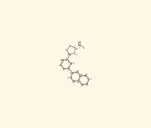 CN[C@H]1CCN(c2nccc(-c3ccc4ccccc4c3)n2)C1